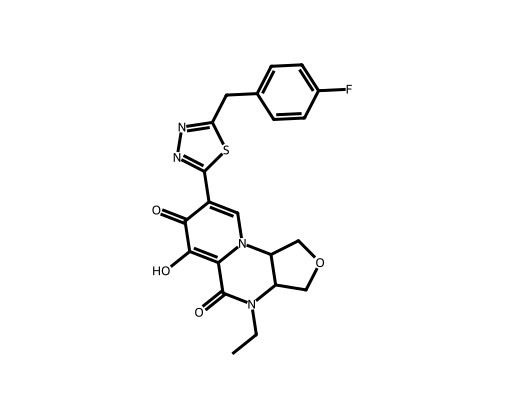 CCN1C(=O)c2c(O)c(=O)c(-c3nnc(Cc4ccc(F)cc4)s3)cn2C2COCC21